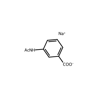 CC(=O)Nc1cccc(C(=O)[O-])c1.[Na+]